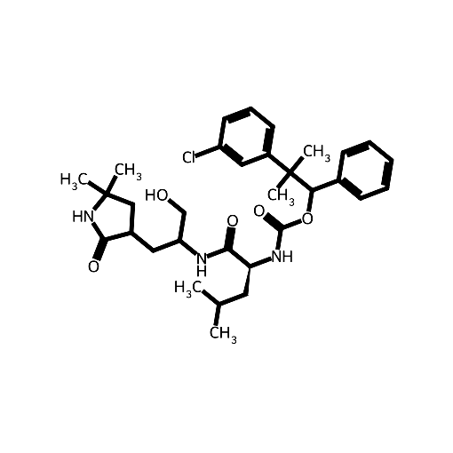 CC(C)C[C@H](NC(=O)OC(c1ccccc1)C(C)(C)c1cccc(Cl)c1)C(=O)NC(CO)CC1CC(C)(C)NC1=O